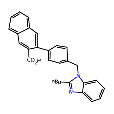 CCCCc1nc2ccccc2n1Cc1ccc(-c2cc3ccccc3cc2C(=O)O)cc1